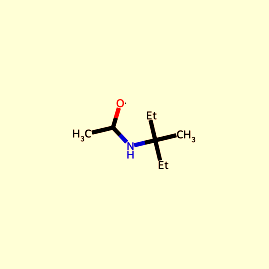 CCC(C)(CC)NC(C)[O]